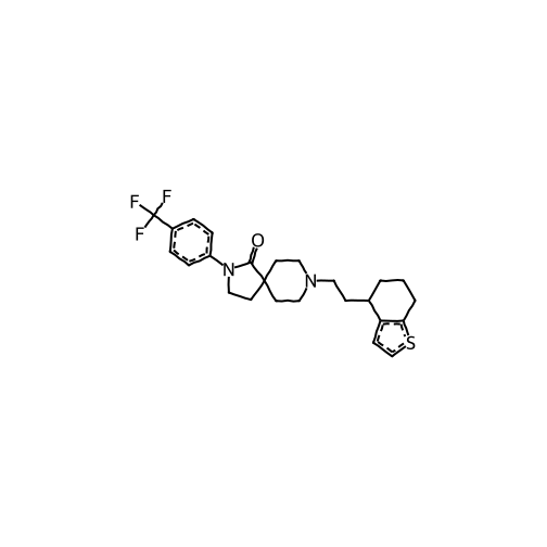 O=C1N(c2ccc(C(F)(F)F)cc2)CCC12CCN(CCC1CCCc3sccc31)CC2